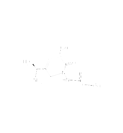 [CH2][C@H](N)C(=O)CN(NC(=O)OC(C)(C)C)C(=O)OC(C)(C)C